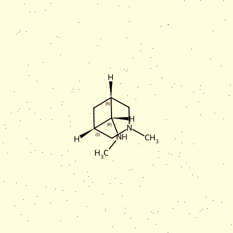 CN[C@H]1[C@@H]2C[C@H]1CN(C)C2